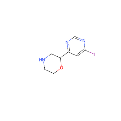 Ic1cc(C2CNCCO2)ncn1